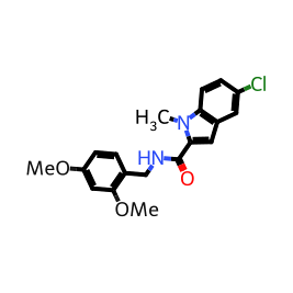 COc1ccc(CNC(=O)c2cc3cc(Cl)ccc3n2C)c(OC)c1